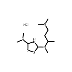 CC(CCN(C)C)N(C)C1NC(N(C)C)SS1.Cl